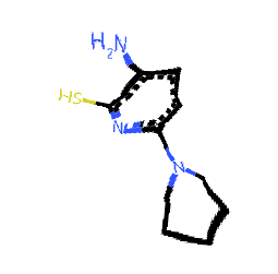 Nc1ccc(N2CCCCC2)nc1S